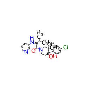 CC(C)[C@@H](Nc1cccnc1)C(=O)N1CC[C@](O)(c2ccc(Cl)cc2)C(C)(C)C1